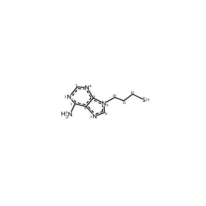 Nc1ncnc2c1ncn2CCC[S]